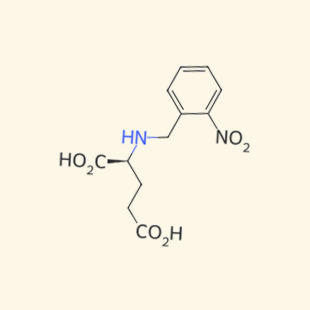 O=C(O)CC[C@H](NCc1ccccc1[N+](=O)[O-])C(=O)O